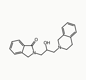 O=C1c2ccccc2CN1CC(O)CN1CCc2ccccc2C1